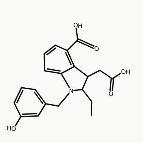 CCC1C(CC(=O)O)c2c(C(=O)O)cccc2N1Cc1cccc(O)c1